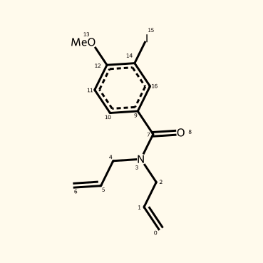 C=CCN(CC=C)C(=O)c1ccc(OC)c(I)c1